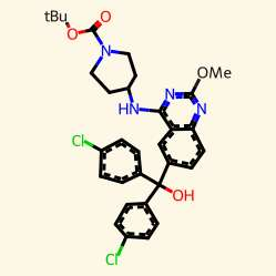 COc1nc(NC2CCN(C(=O)OC(C)(C)C)CC2)c2cc(C(O)(c3ccc(Cl)cc3)c3ccc(Cl)cc3)ccc2n1